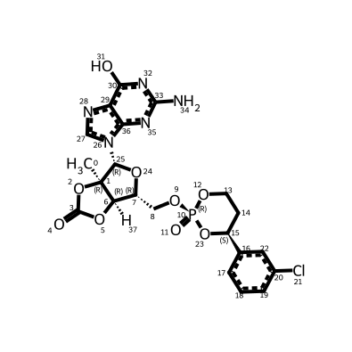 C[C@@]12OC(=O)O[C@@H]1[C@@H](CO[P@@]1(=O)OCC[C@@H](c3cccc(Cl)c3)O1)O[C@H]2n1cnc2c(O)nc(N)nc21